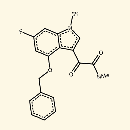 CNC(=O)C(=O)c1cn(C(C)C)c2cc(F)cc(OCc3ccccc3)c12